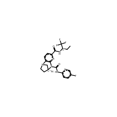 CC[C@@H](NC(=O)c1ccc2c(n1)N(C(=O)Nc1ccc(F)cn1)[C@H]1CCN2C1)C(F)(F)F